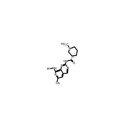 CC(C)Nc1nc(C#N)cc2cnc(NC(=O)[C@H]3CCCN(C(=O)O)C3)nc12